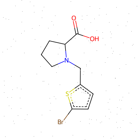 O=C(O)C1CCCN1Cc1ccc(Br)s1